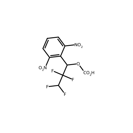 O=C(O)OC(c1c([N+](=O)[O-])cccc1[N+](=O)[O-])C(F)(F)C(F)F